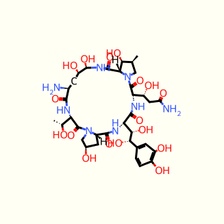 C[C@@H](O)[C@@H]1NC(=O)[C@@H](N)C[C@@H](O)[C@@H](O)NC(=O)[C@@H]2[C@@H](O)[C@@H](C)CN2C(=O)[C@H]([C@H](O)CC(N)=O)NC(=O)[C@H]([C@H](O)[C@@H](O)c2ccc(O)c(O)c2)NC(=O)[C@@H]2C[C@@H](O)CN2C1=O